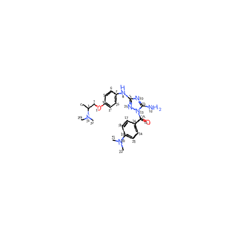 CC(COc1ccc(Nc2nc(N)n(C(=O)c3ccc(N(C)C)cc3)n2)cc1)N(C)C